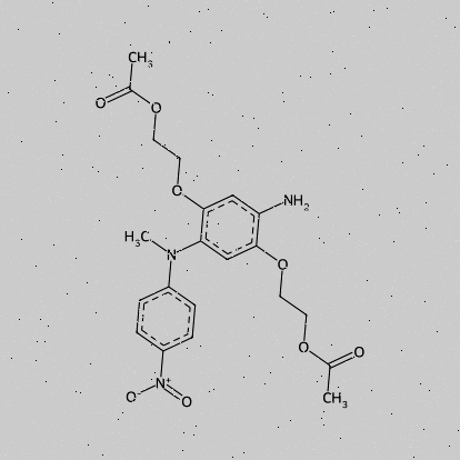 CC(=O)OCCOc1cc(N(C)c2ccc([N+](=O)[O-])cc2)c(OCCOC(C)=O)cc1N